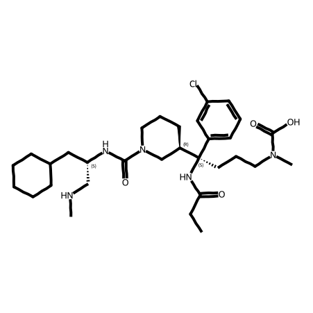 CCC(=O)N[C@](CCCN(C)C(=O)O)(c1cccc(Cl)c1)[C@@H]1CCCN(C(=O)N[C@H](CNC)CC2CCCCC2)C1